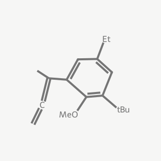 C=C=C(C)c1cc(CC)cc(C(C)(C)C)c1OC